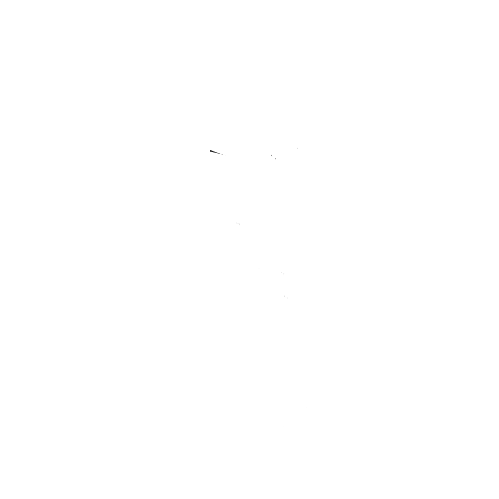 COc1ccc(CN2CCC3(CCN(C[C@H]4CN(C(=O)C5CCCCCC5)C[C@@H]4c4ccccc4)CC3)C2=O)cc1